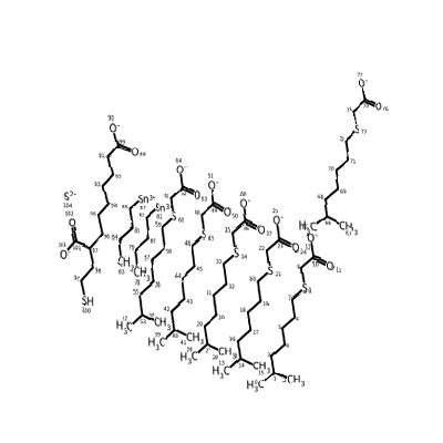 CC(C)CCCCCSCC(=O)[O-].CC(C)CCCCCSCC(=O)[O-].CC(C)CCCCCSCC(=O)[O-].CC(C)CCCCCSCC(=O)[O-].CC(C)CCCCCSCC(=O)[O-].CC(C)CCCCCSCC(=O)[O-].CCC[CH2][Sn+3].CCC[CH2][Sn+3].O=C([O-])CCCCCCC(CCS)C(=O)[O-].[S-2]